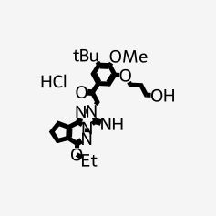 CCOc1nn2c(=N)n(CC(=O)c3cc(OCCCO)c(OC)c(C(C)(C)C)c3)nc2c2c1CCC2.Cl